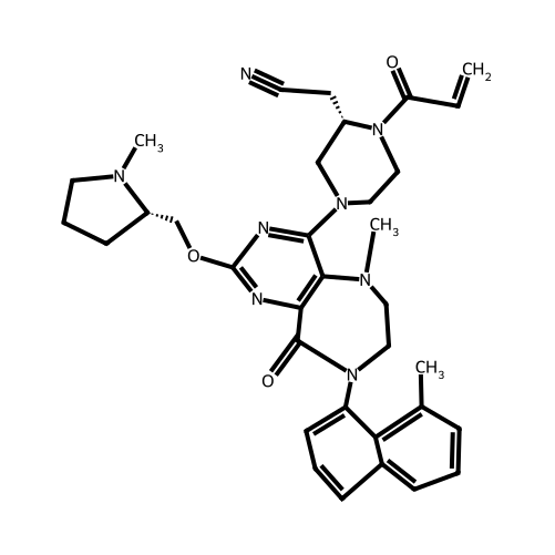 C=CC(=O)N1CCN(c2nc(OC[C@@H]3CCCN3C)nc3c2N(C)CCN(c2cccc4cccc(C)c24)C3=O)C[C@@H]1CC#N